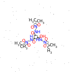 CC(C)C1CC(=O)N(CCNC(=O)[C@@H]2C[C@H](C(=O)NCCN3C(=O)CC(C(C)C)C3=O)C[C@H](C(O)NCCN3C(=O)CC(C(C)C)C3=O)C2)C1=O